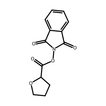 O=C(ON1C(=O)c2ccccc2C1=O)C1CCCO1